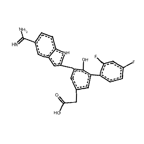 N=C(N)c1ccc2[nH]c(-c3cc(CC(=O)O)cc(-c4ccc(F)cc4F)c3O)cc2c1